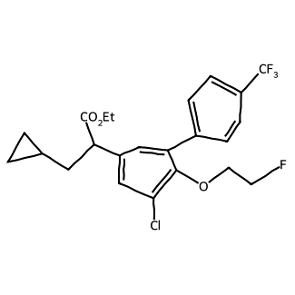 CCOC(=O)C(CC1CC1)c1cc(Cl)c(OCCF)c(-c2ccc(C(F)(F)F)cc2)c1